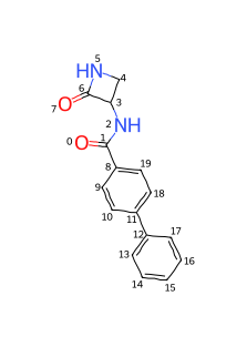 O=C(NC1CNC1=O)c1ccc(-c2ccccc2)cc1